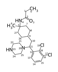 CCC(=O)NC1(C)CCC(CC(c2cccc(Cl)c2Cl)N2CCNCC2)CC1